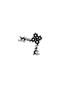 CC(S)CC(=O)OCOCc1ccc(C2(c3ccc(COCOC(=O)CC(C)S)cc3)c3ccccc3-c3ccccc32)cc1